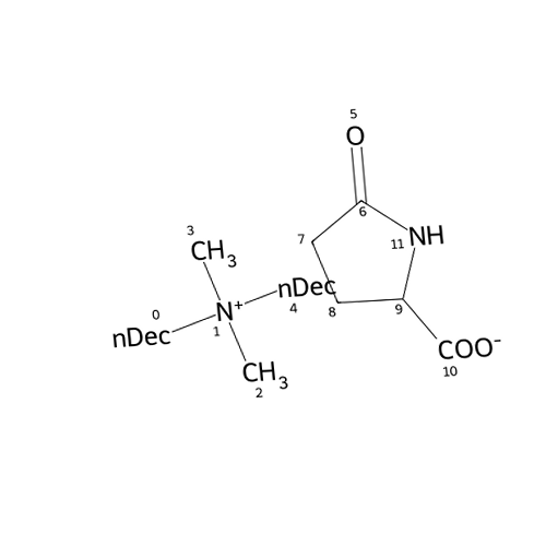 CCCCCCCCCC[N+](C)(C)CCCCCCCCCC.O=C1CCC(C(=O)[O-])N1